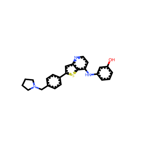 Oc1cccc(Nc2ccnc3cc(-c4ccc(CN5CCCC5)cc4)sc23)c1